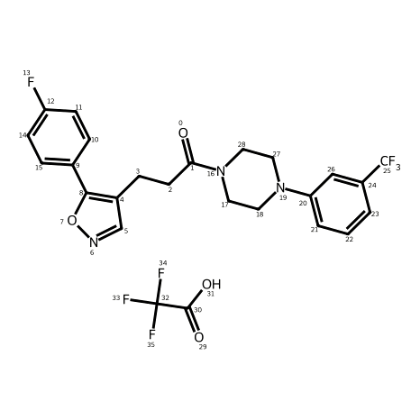 O=C(CCc1cnoc1-c1ccc(F)cc1)N1CCN(c2cccc(C(F)(F)F)c2)CC1.O=C(O)C(F)(F)F